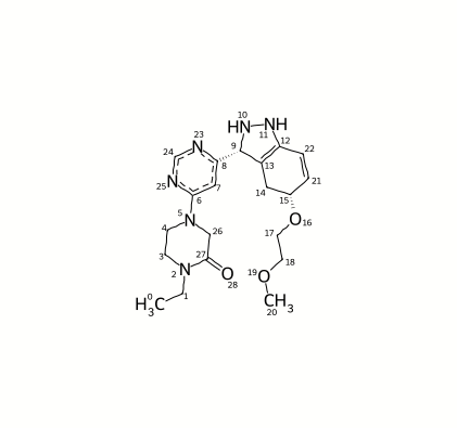 CCN1CCN(c2cc([C@@H]3NNC4=C3C[C@@H](OCCOC)C=C4)ncn2)CC1=O